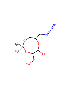 CC1(C)OC[C@@H](CN=[N+]=[N-])OC(O)[C@H](CO)O1